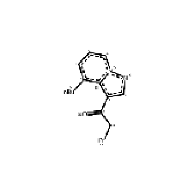 CCCCc1cccn2ncc(C(=O)CC(C)C)c12